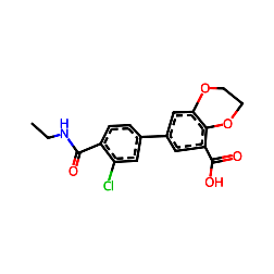 CCNC(=O)c1ccc(-c2cc3c(c(C(=O)O)c2)OCCO3)cc1Cl